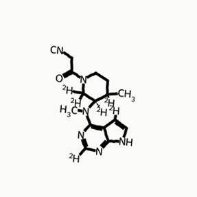 [2H]c1nc(N(C)[C@@]2([2H])C([2H])([2H])N(C(=O)C[N+]#[C-])CC[C@@]2([2H])C)c2c([2H])c[nH]c2n1